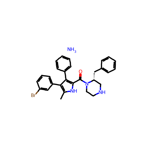 Cc1[nH]c(C(=O)N2CCNC[C@H]2Cc2ccccc2)c(-c2ccccc2)c1-c1cccc(Br)c1.N